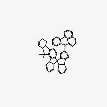 CC1(C)c2c(ccc3c2C2C=CC=CC2C32c3cc(N(C4=CC=CCC4)c4ccccc4-c4ccccc4)ccc3C3C=CC=CC32)C2CCC=CC21